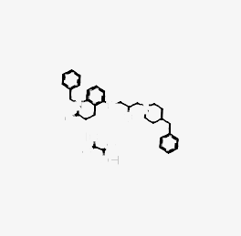 O=C(O)C(=O)O.O=C1CCc2c(OCC(O)CN3CCC(Cc4ccccc4)CC3)cccc2N1Cc1ccccc1